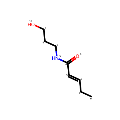 CCC=CC(=O)NCCCO